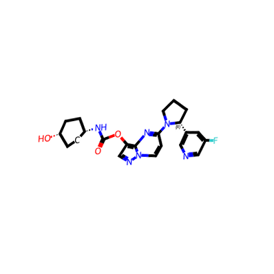 O=C(N[C@H]1CC[C@@H](O)CC1)Oc1cnn2ccc(N3CCC[C@@H]3c3cncc(F)c3)nc12